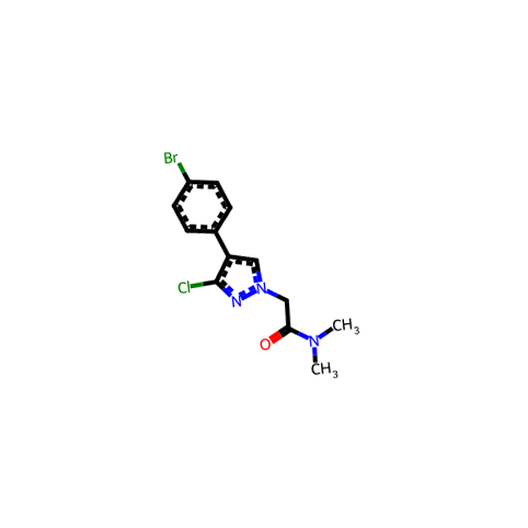 CN(C)C(=O)Cn1cc(-c2ccc(Br)cc2)c(Cl)n1